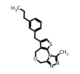 CCCc1cccc(Cc2csc3c2COCc2nnc(C)n2-3)c1